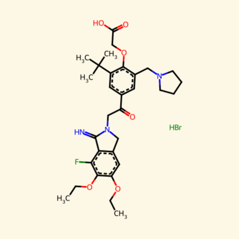 Br.CCOc1cc2c(c(F)c1OCC)C(=N)N(CC(=O)c1cc(CN3CCCC3)c(OCC(=O)O)c(C(C)(C)C)c1)C2